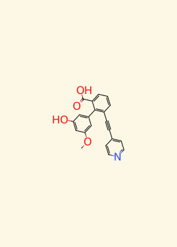 COc1cc(O)cc(-c2c(C#Cc3ccncc3)cccc2C(=O)O)c1